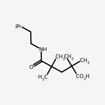 CC(C)CCNC(=O)C(C)(C)CC(C)(C)C(=O)O